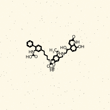 COc1cc2c(cc1CNC[C@H](O)c1ccc(O)c3[nH]c(=O)ccc13)oc(=O)n2CCCCc1ccc(-c2ccccc2)c(NC(=O)O)c1.F.F